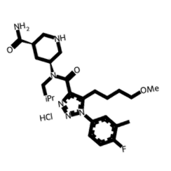 COCCCCc1c(C(=O)N(CC(C)C)[C@@H]2CNC[C@H](C(N)=O)C2)nnn1-c1ccc(F)c(C)c1.Cl